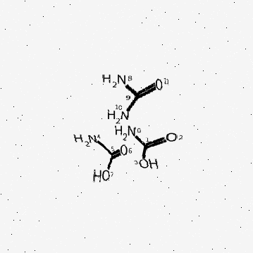 NC(=O)O.NC(=O)O.NC(N)=O